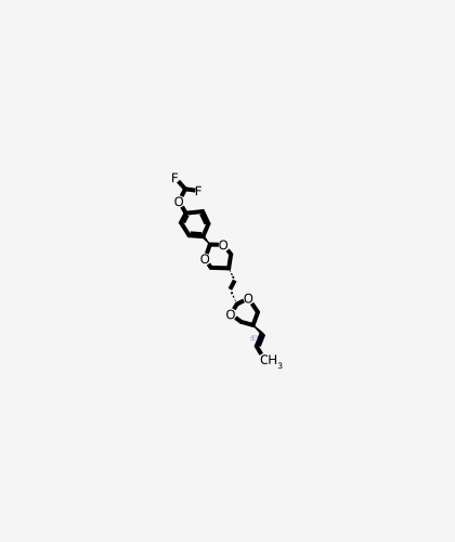 C/C=C/[C@H]1CO[C@H](CC[C@H]2CO[C@H](c3ccc(OC(F)F)cc3)OC2)OC1